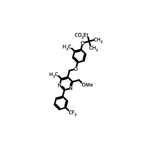 CCOC(=O)C(C)(C)Oc1ccc(OCc2c(C)nc(-c3cccc(C(F)(F)F)c3)nc2COC)cc1C